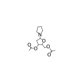 CC(=O)OCC1OC(N2CCCC2)CC1OC(C)=O